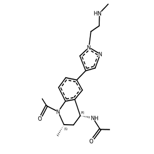 CNCCn1cc(-c2ccc3c(c2)[C@H](NC(C)=O)C[C@H](C)N3C(C)=O)cn1